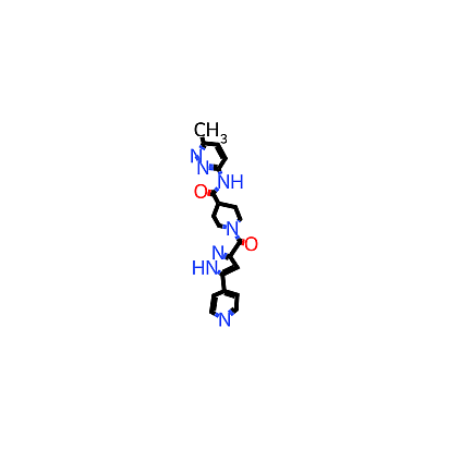 Cc1ccc(NC(=O)C2CCN(C(=O)c3cc(-c4ccncc4)[nH]n3)CC2)nn1